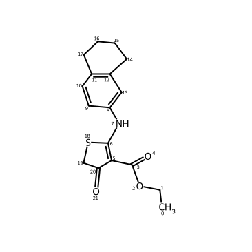 CCOC(=O)C1=C(Nc2ccc3c(c2)CCCC3)SCC1=O